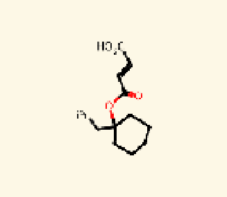 CC(C)CC1(OC(=O)/C=C/C(=O)O)CCCCC1